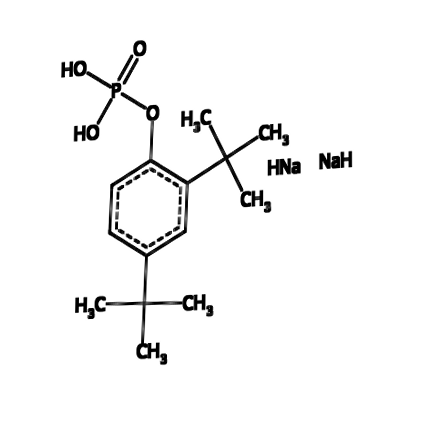 CC(C)(C)c1ccc(OP(=O)(O)O)c(C(C)(C)C)c1.[NaH].[NaH]